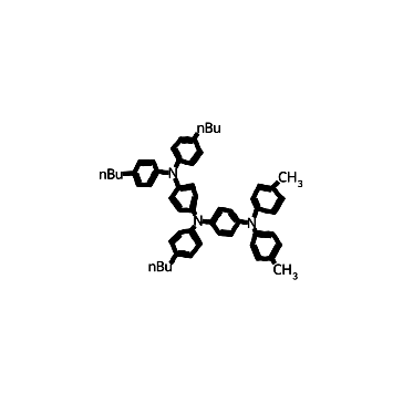 CCCCc1ccc(N(c2ccc(CCCC)cc2)c2ccc(N(c3ccc(CCCC)cc3)c3ccc(N(c4ccc(C)cc4)c4ccc(C)cc4)cc3)cc2)cc1